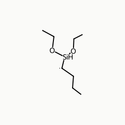 CCC[CH][SiH](OCC)OCC